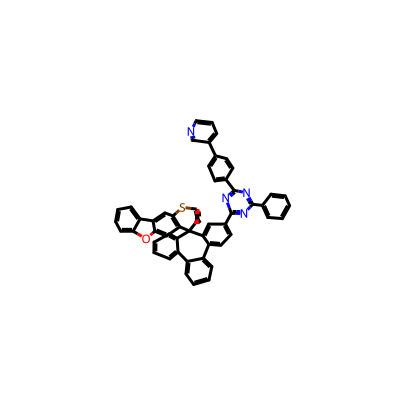 c1ccc(-c2nc(-c3ccc(-c4cccnc4)cc3)nc(-c3ccc4c(c3)C3(c5ccccc5Sc5cc6c(cc53)oc3ccccc36)c3ccccc3-c3ccccc3-4)n2)cc1